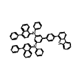 c1ccc(-c2ccc(N(c3ccccc3)c3cc(-c4ccc(-c5cccc6c5sc5ccccc56)cc4)cc(N(c4ccccc4)c4ccc(-c5ccccc5)c5ccccc45)c3)c3ccccc23)cc1